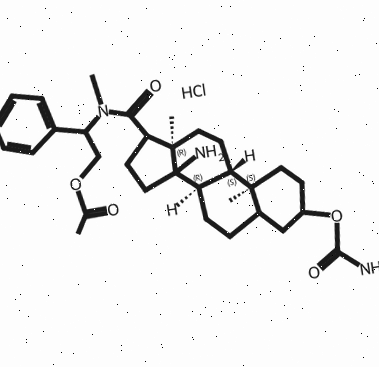 CC(=O)OCC(c1ccccc1)N(C)C(=O)C1CCC2(N)[C@@H]3CCC4CC(OC(N)=O)CC[C@]4(C)[C@H]3CC[C@]12C.Cl